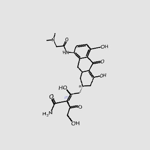 CN(C)CC(=O)Nc1ccc(O)c2c1CC1C[C@@H](C/C(O)=C(/C(N)=O)C(=O)CO)CC(O)=C1C2=O